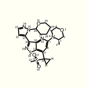 C[C@@H]1COCCN1c1cc(C2(S(C)(=O)=O)CC2)c2snc(-c3ccnn3C3CCCCO3)c2n1